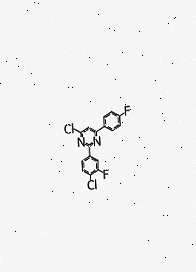 Fc1ccc(-c2cc(Cl)nc(-c3ccc(Cl)c(F)c3)n2)cc1